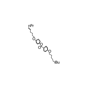 CCCC=CCCCCOc1ccc(OC(=O)c2ccc(OCCCCCC(C)CC)cc2)cc1